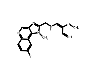 CO/C(C=N)=C/NCc1nc2cnc3ccc(F)cc3c2n1C